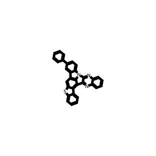 c1ccc(-c2ccc3c(c2)c2cc4sc5ccccc5c4c4c5nc6ccccc6nc5n3c24)cc1